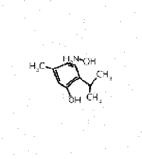 Cc1ccc(C(C)C)c(O)c1.NO